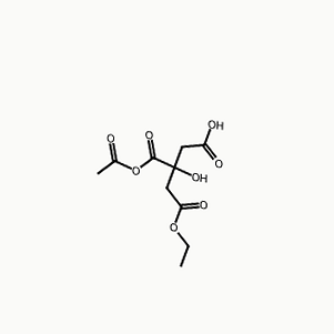 CCOC(=O)CC(O)(CC(=O)O)C(=O)OC(C)=O